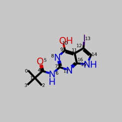 CC(C)(C)C(=O)Nc1nc(O)c2c(I)c[nH]c2n1